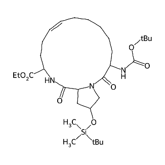 CCOC(=O)C1CCC=CCCCCCC(NC(=O)OC(C)(C)C)C(=O)N2CC(O[Si](C)(C)C(C)(C)C)CC2C(=O)N1